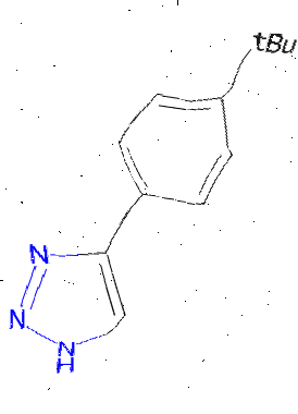 CC(C)(C)c1ccc(-c2c[nH]nn2)cc1